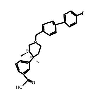 C[C@H]1CN(Cc2ccc(-c3ccc(F)cc3)cc2)CC[C@@]1(C)c1cccc(C(=O)O)c1